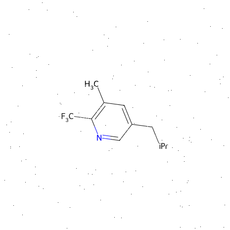 Cc1cc(CC(C)C)cnc1C(F)(F)F